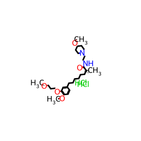 COCCCOc1cc(CCCCCC[C@@H](C)C(=O)NCCN2CCC(OC)CC2)ccc1OC.Cl.Cl